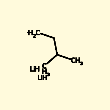 [CH2]CC(C)C.[LiH].[LiH]